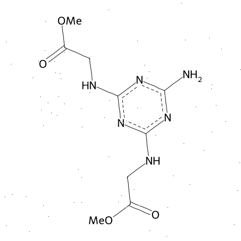 COC(=O)CNc1nc(N)nc(NCC(=O)OC)n1